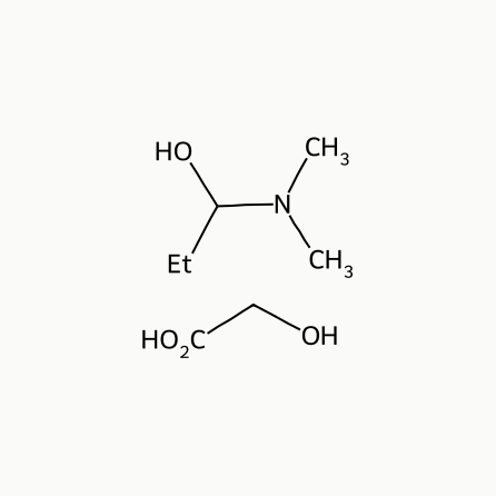 CCC(O)N(C)C.O=C(O)CO